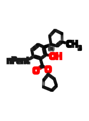 CCCCCc1ccc([C@@H]2C=C(C)CCC2)c(O)c1C(=O)OC1CCCCC1